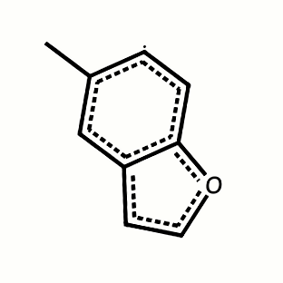 Cc1[c]cc2occc2c1